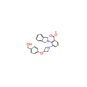 COC(=O)c1cccc(N2CC(Oc3ccc(CO)cc3)C2)c1N1Cc2ccccc2C1